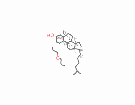 CC(C)CCC[C@@H](C)[C@H]1CC[C@H]2[C@@H]3CC[C@H]4C[C@@H](O)CC[C@]4(C)[C@H]3CC[C@]12C.CCCOCCC